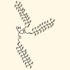 OCC(COCC=CC(F)(F)C(F)(F)C(F)(F)C(F)(F)C(F)(F)C(F)(F)C(F)(F)C(F)(F)F)(COCC=CC(F)(F)C(F)(F)C(F)(F)C(F)(F)C(F)(F)C(F)(F)C(F)(F)C(F)(F)F)COCC=CC(F)(F)C(F)(F)C(F)(F)C(F)(F)C(F)(F)C(F)(F)C(F)(F)C(F)(F)F